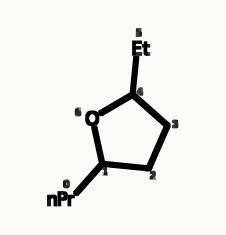 CCCC1CCC(CC)O1